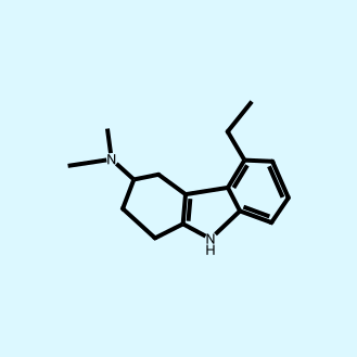 CCc1cccc2[nH]c3c(c12)CC(N(C)C)CC3